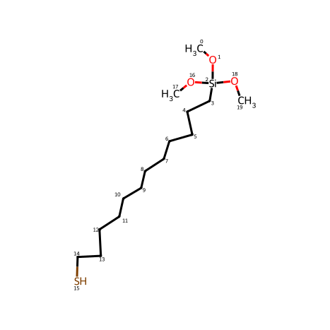 CO[Si](CCCCCCCCCCCCS)(OC)OC